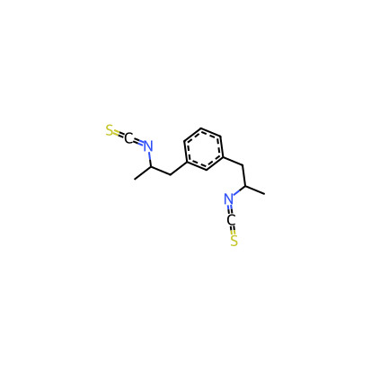 CC(Cc1cccc(CC(C)N=C=S)c1)N=C=S